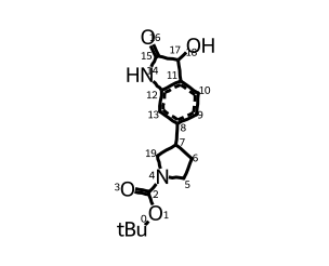 CC(C)(C)OC(=O)N1CCC(c2ccc3c(c2)NC(=O)C3O)C1